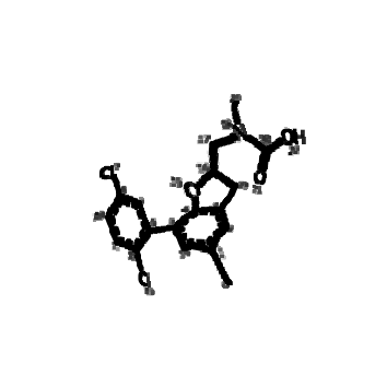 Cc1cc2c(c(-c3cc(Cl)ccc3Cl)c1)OC(CN(C)C(=O)O)C2